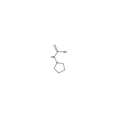 O=C(S)NN1CCCC1